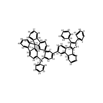 c1ccc(-c2sc3c4ccccc4c4cc(-c5ccc(N(c6ccccc6)c6ccc7c(c6)C6(c8ccccc8-c8ccccc86)c6ccccc6-7)cc5)ccc4c3c2-c2ccccc2)cc1